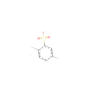 O=S(=O)([O-])c1cc(Cl)ccc1Cl.[Na+]